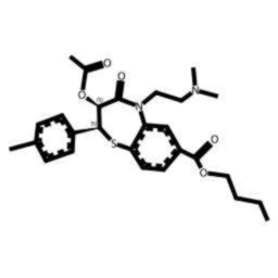 CCCCOC(=O)c1ccc2c(c1)N(CCN(C)C)C(=O)[C@H](OC(C)=O)[C@H](c1ccc(C)cc1)S2